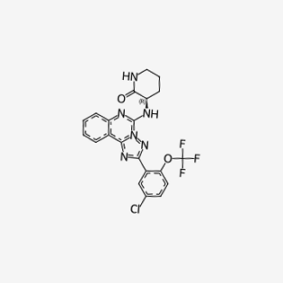 O=C1NCCC[C@H]1Nc1nc2ccccc2c2nc(-c3cc(Cl)ccc3OC(F)(F)F)nn12